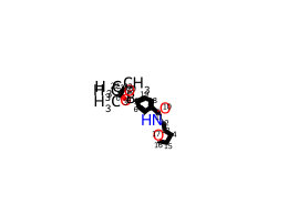 CC1(C)OB(c2ccc(C(=O)NCC3CCCO3)cc2)OC1(C)C